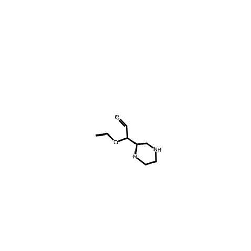 CCOC(C=O)C1CNCC[N]1